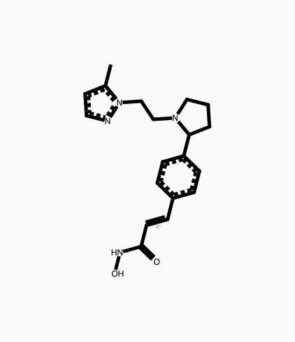 Cc1ccnn1CCN1CCCC1c1ccc(/C=C/C(=O)NO)cc1